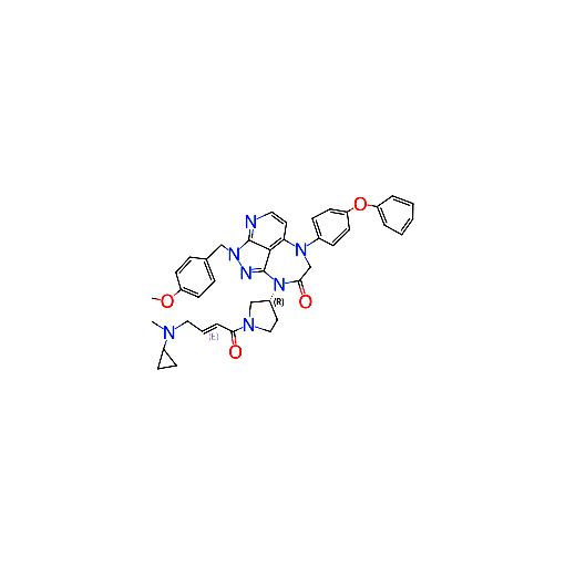 COc1ccc(Cn2nc3c4c(ccnc42)N(c2ccc(Oc4ccccc4)cc2)CC(=O)N3[C@@H]2CCN(C(=O)/C=C/CN(C)C3CC3)C2)cc1